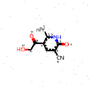 CCCc1[nH]c(=O)c(C#N)cc1C(=O)CO